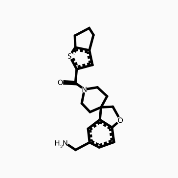 NCc1ccc2c(c1)C1(CCN(C(=O)c3cc4c(s3)CCC4)CC1)CO2